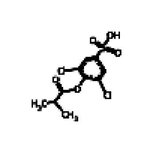 CC(C)C(=O)Oc1c(Cl)cc(S(=O)(=O)O)cc1Cl